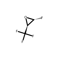 F[C@H]1O[C@@H]1C(F)(F)F